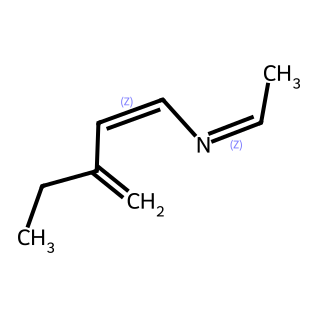 C=C(/C=C\N=C/C)CC